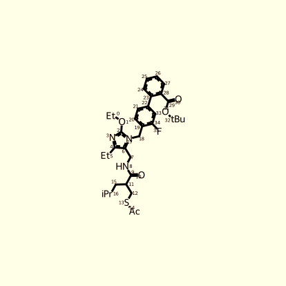 CCOc1nc(CC)c(CNC(=O)C(CSC(C)=O)CC(C)C)n1Cc1ccc(-c2ccccc2C(=O)OC(C)(C)C)cc1F